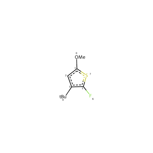 COc1cc(C(C)(C)C)c(F)s1